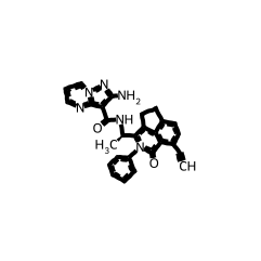 C#Cc1ccc2c3c(c([C@@H](C)NC(=O)c4c(N)nn5cccnc45)n(-c4ccccc4)c(=O)c13)CC2